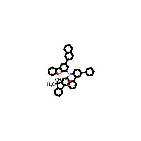 CC1(C)c2ccccc2-c2ccc(N(c3ccc(-c4ccccc4)cc3-c3ccccc3)c3cc(-c4ccc5ccccc5c4)cc4c3oc3ccccc34)cc21